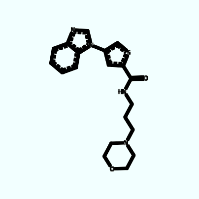 O=C(NCCCN1CCOCC1)c1cc(-n2cnc3ccccc32)cs1